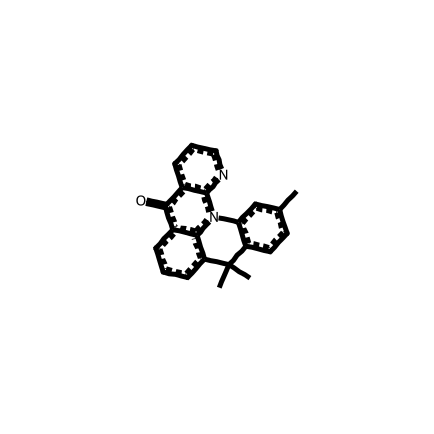 Cc1ccc2c(c1)-n1c3ncccc3c(=O)c3cccc(c31)C2(C)C